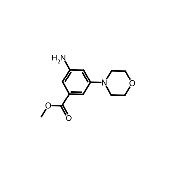 COC(=O)c1cc(N)cc(N2CCOCC2)c1